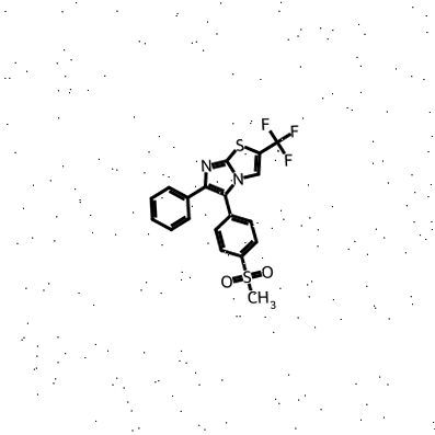 CS(=O)(=O)c1ccc(-c2c(-c3ccccc3)nc3sc(C(F)(F)F)cn23)cc1